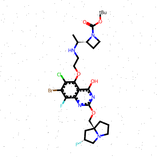 CC(NCCOc1c(Cl)c(Br)c(F)c2nc(OC[C@@]34CCCN3C[C@H](F)C4)nc(O)c12)[C@H]1CCN1C(=O)OC(C)(C)C